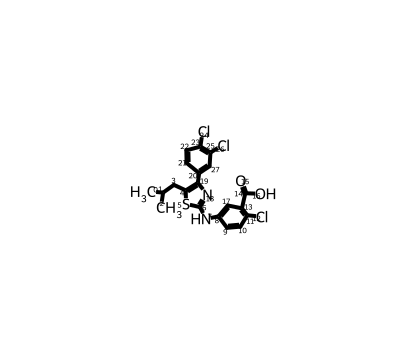 CC(C)Cc1sc(Nc2ccc(Cl)c(C(=O)O)c2)nc1-c1ccc(Cl)c(Cl)c1